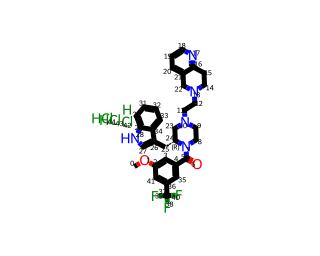 COc1cc(C(=O)N2CCN(CCN3CCc4ncccc4C3)C[C@H]2Cc2c[nH]c3ccccc23)cc(C(F)(F)F)c1.Cl.Cl.Cl